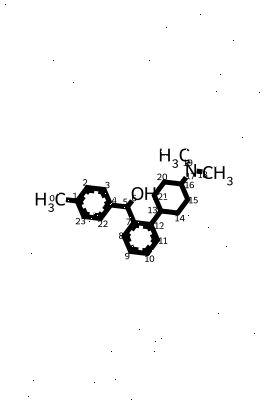 Cc1ccc(C(O)c2ccccc2C2CCC(N(C)C)CC2)cc1